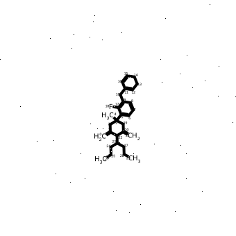 C=C1CC(C)(c2cccc(CC3=CCCC=C3)c2F)CC(=C)C1C(CCC)CCC